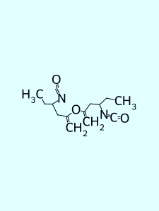 C=C(CC(CC)N=C=O)OC(=C)CC(CC)N=C=O